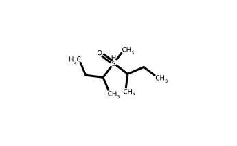 CCC(C)[SH](C)(=O)C(C)CC